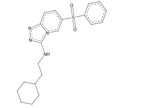 O=S(=O)(c1ccccc1)c1ccc2nnc(NCCC3CCCCC3)n2c1